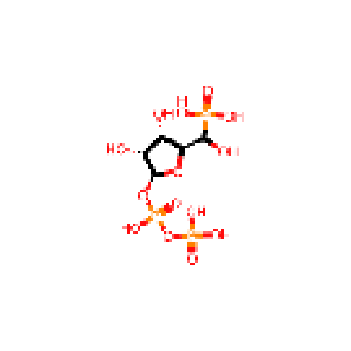 O=P(O)(O)OP(=O)(O)O[C@@H]1O[C@H](C(O)P(=O)(O)O)[C@@H](O)[C@H]1O